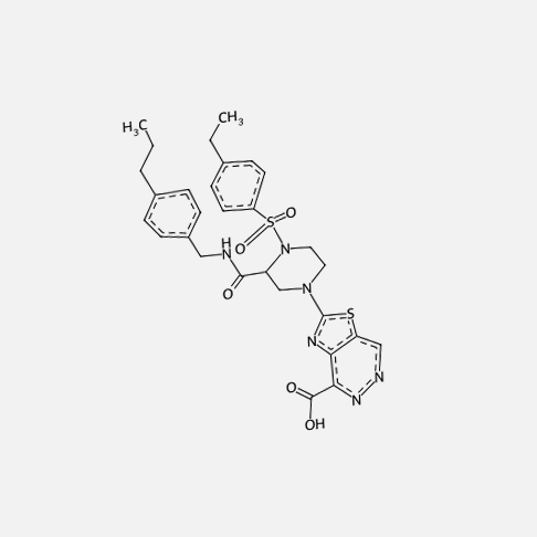 CCCc1ccc(CNC(=O)C2CN(c3nc4c(C(=O)O)nncc4s3)CCN2S(=O)(=O)c2ccc(CC)cc2)cc1